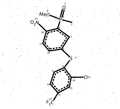 COP(C)(=O)c1cc(Sc2ccc(C(F)(F)F)cc2Cl)ccc1[N+](=O)[O-]